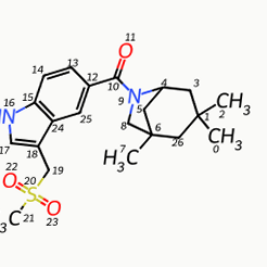 CC1(C)CC2CC(C)(CN2C(=O)c2ccc3[nH]cc(CS(C)(=O)=O)c3c2)C1